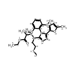 CCOC(=O)C(C)SN(CCSI)c1nnc(-c2ccc(C)o2)n1-c1c(OC)cccc1OC